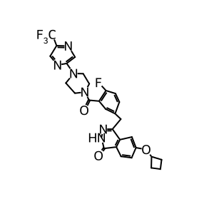 O=C(c1cc(Cc2n[nH]c(=O)c3ccc(OC4CCC4)cc23)ccc1F)N1CCN(c2cnc(C(F)(F)F)cn2)CC1